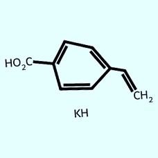 C=Cc1ccc(C(=O)O)cc1.[KH]